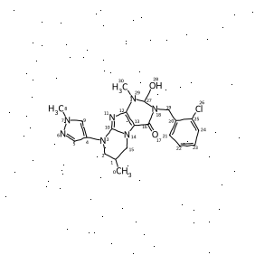 CC1CN(c2cnn(C)c2)c2nc3c(n2C1)C(=O)N(Cc1ccccc1Cl)C(O)N3C